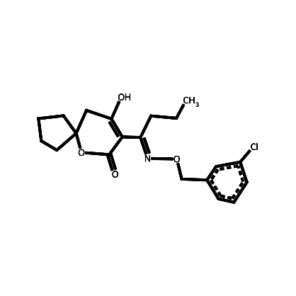 CCC/C(=N\OCc1cccc(Cl)c1)C1=C(O)CC2(CCCC2)OC1=O